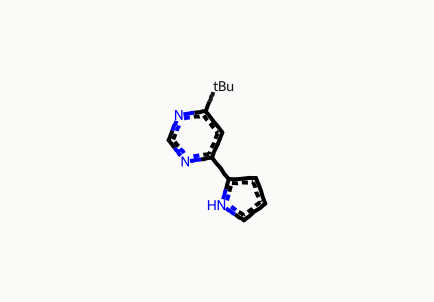 CC(C)(C)c1cc(-c2ccc[nH]2)ncn1